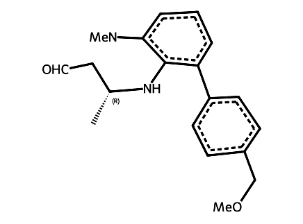 CNc1cccc(-c2ccc(COC)cc2)c1N[C@H](C)CC=O